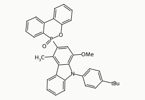 COc1cc(P2(=O)Oc3ccccc3-c3ccccc32)c(C)c2c3ccccc3n(-c3ccc(C(C)(C)C)cc3)c12